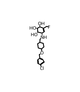 O[C@@H]1[C@@H](O)[C@@H](O)C(CF)=C[C@H]1NCC1CCC(OCc2ccc(Cl)cc2)CC1